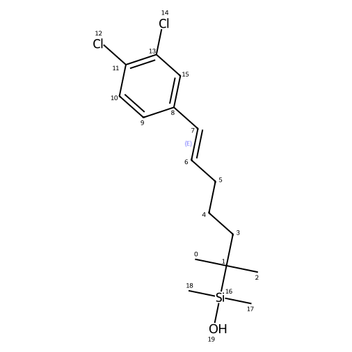 CC(C)(CCC/C=C/c1ccc(Cl)c(Cl)c1)[Si](C)(C)O